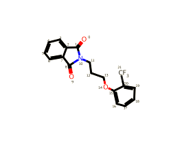 O=C1c2ccccc2C(=O)N1CCCOc1ccccc1C(F)(F)F